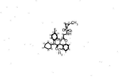 Cc1ccccc1[C@@H](C(=O)NC1CCCCC1)N(C(=O)CNS(=O)(=O)N1C[C@H]1C)c1cccc(F)c1